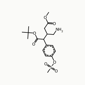 COC(=O)CC(CN)C(C(=O)OC(C)(C)C)c1ccc(OS(C)(=O)=O)cc1